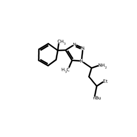 CCCCC(CC)CC(N)n1nnc(C2(C)C=CC=CC2)c1C